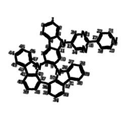 c1ccc2c(c1)c1cc3c(cc1n2-c1cnc(-c2ccncc2)nc1)n1c2ccccc2c2cccc(c4cccc5c6ccccc6n3c54)c21